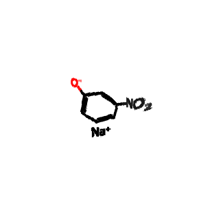 O=[N+]([O-])c1cccc([O-])c1.[Na+]